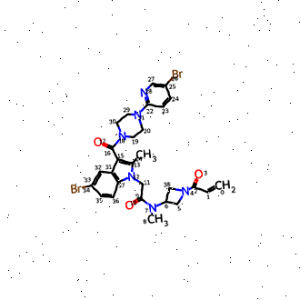 C=CC(=O)N1CC(N(C)C(=O)Cn2c(C)c(C(=O)N3CCN(c4ccc(Br)cn4)CC3)c3cc(Br)ccc32)C1